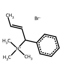 CC=CC(c1ccccc1)[N+](C)(C)C.[Br-]